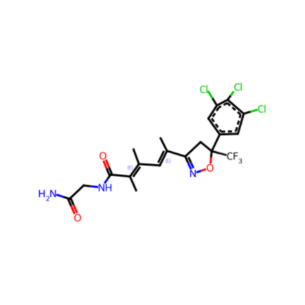 C/C(=C\C(C)=C(/C)C(=O)NCC(N)=O)C1=NOC(c2cc(Cl)c(Cl)c(Cl)c2)(C(F)(F)F)C1